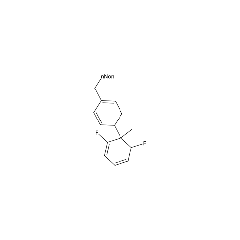 CCCCCCCCCCC1=CCC(C2(C)C(F)=CC=CC2F)C=C1